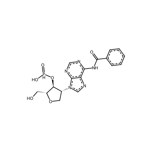 O=C(Nc1ncnc2c1ncn2[C@@H]1CO[C@H](CO)[C@H]1O[PH](=O)O)c1ccccc1